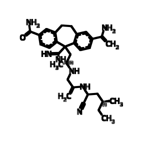 C=C(CN[C@H](C)CC1(C(=N)N)c2ccc(C(=C)N)cc2CCc2cc(C(N)=O)ccc21)NC(C#N)C[C@@H](C)CC